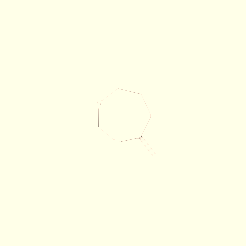 C=C1CCCNCP1